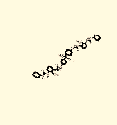 Cc1c(NC(=O)Nc2ccccc2)cccc1NC(=O)Oc1ccc(C(C)(C)c2ccc(OC(=O)Nc3cccc(NC(=O)Nc4ccccc4)c3C)cc2)cc1